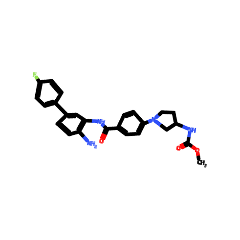 COC(=O)NC1CCN(c2ccc(C(=O)Nc3cc(-c4ccc(F)cc4)ccc3N)cc2)C1